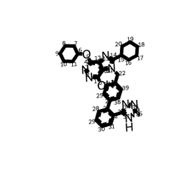 Oc1nnc(OC2CCCCC2)c2nc(C3CCCCC3)n(Cc3ccc(-c4ccccc4-c4nnn[nH]4)cc3)c12